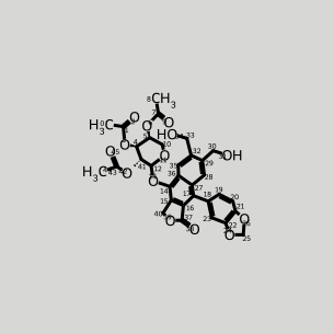 CC(=O)O[C@H]1[C@@H](OC(C)=O)COC(Oc2c3c(c(-c4ccc5c(c4)OCO5)c4cc(CO)c(CO)cc24)C(=O)OC3)[C@@H]1OC(C)=O